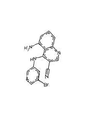 N#Cc1cnc2cccc(N)c2c1Nc1cccc(Br)c1